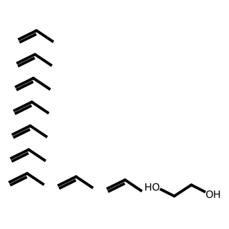 C=CC.C=CC.C=CC.C=CC.C=CC.C=CC.C=CC.C=CC.C=CC.OCCO